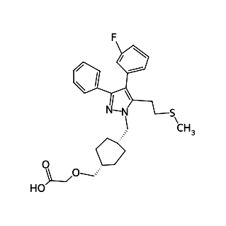 CSCCc1c(-c2cccc(F)c2)c(-c2ccccc2)nn1C[C@H]1CC[C@@H](COCC(=O)O)CC1